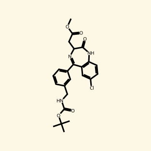 COC(=O)CC1N=C(c2cccc(CNC(=O)OC(C)(C)C)c2)c2cc(Cl)ccc2NC1=O